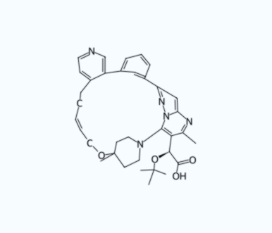 Cc1nc2cc3nn2c(c1[C@H](OC(C)(C)C)C(=O)O)N1CCC(C)(CC1)OC/C=C\CCc1ccncc1-c1cccc-3c1